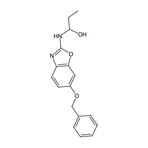 CCC(O)Nc1nc2ccc(OCc3ccccc3)cc2o1